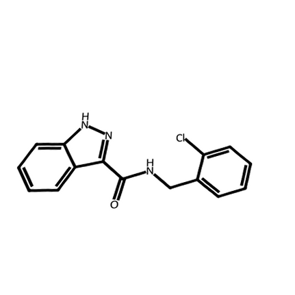 O=C(NCc1ccccc1Cl)c1n[nH]c2ccccc12